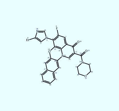 CCc1cn(-c2c(F)cc3c(=O)c(C(=O)N4CCOCC4)cn4c3c2Oc2cc3ccccc3cc2-4)cn1